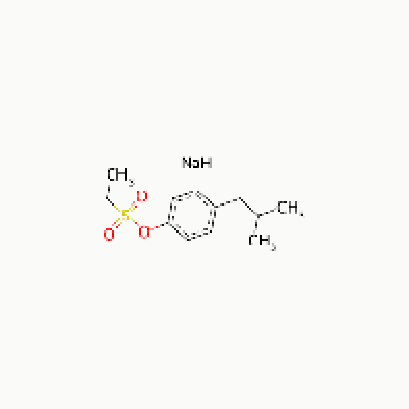 CCS(=O)(=O)Oc1ccc(CC(C)C)cc1.[NaH]